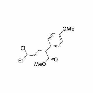 CCC(Cl)CCC(C(=O)OC)c1ccc(OC)cc1